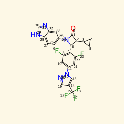 O=C1C(C2CC2)[C@H](c2c(F)cc(-n3cc(C(F)(F)F)cn3)cc2F)N1c1ccc2[nH]cnc2c1